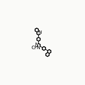 Clc1nc(-c2ccc(-c3cnc4ccccc4c3)cc2)cc(-c2ccc(-c3cccc4ccccc34)cc2)n1